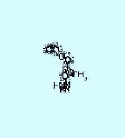 COc1cc(-c2nnn[nH]2)ccc1OCc1cccc(OCc2ccc3ccccc3n2)c1